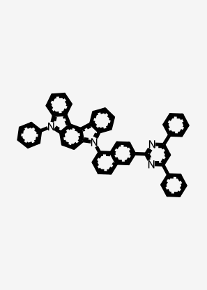 c1ccc(-c2cc(-c3ccccc3)nc(-c3ccc4c(-n5c6ccccc6c6c7c8ccccc8n(-c8ccccc8)c7ccc65)cccc4c3)n2)cc1